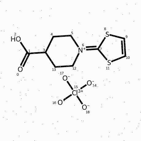 O=C(O)C1CC[N+](=c2sccs2)CC1.[O-][Cl+3]([O-])([O-])[O-]